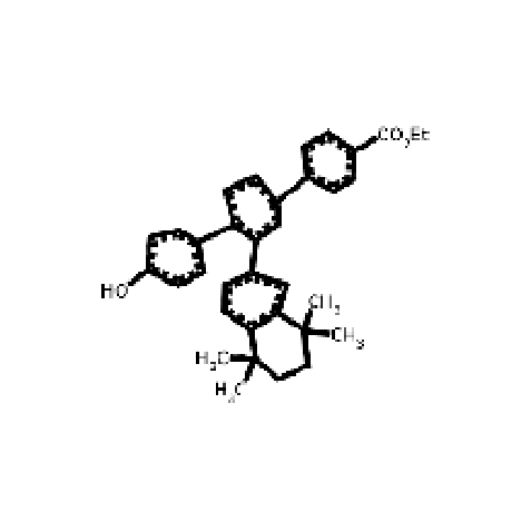 CCOC(=O)c1ccc(-c2ccc(-c3ccc(O)cc3)c(-c3ccc4c(c3)C(C)(C)CCC4(C)C)c2)cc1